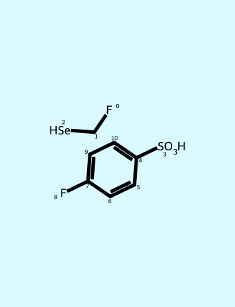 FC[SeH].O=S(=O)(O)c1ccc(F)cc1